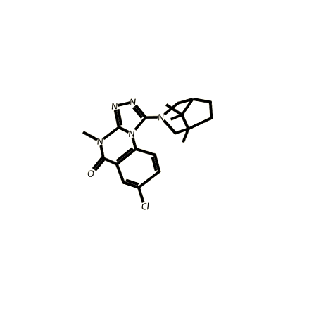 Cn1c(=O)c2cc(Cl)ccc2n2c(N3CC4CCC(C)(C3)C4(C)C)nnc12